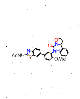 COc1ccc(-c2ccc3nc(NC(C)=O)sc3c2)cc1NC(=O)N1OCCC1c1ccccc1